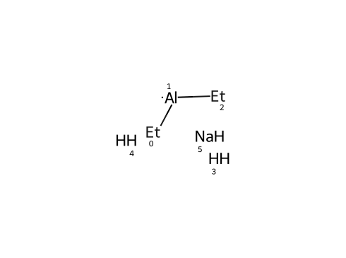 C[CH2][Al][CH2]C.[HH].[HH].[NaH]